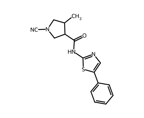 CC1CN(C#N)CC1C(=O)Nc1ncc(-c2ccccc2)s1